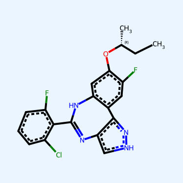 CC[C@@H](C)Oc1cc2c(cc1F)-c1n[nH]cc1N=C(c1c(F)cccc1Cl)N2